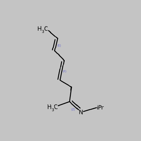 C/C=C/C=C/C/C(C)=N\C(C)C